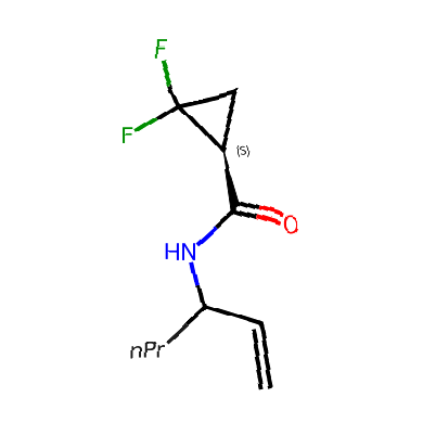 C=CC(CCC)NC(=O)[C@@H]1CC1(F)F